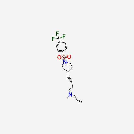 C=CCN(C)CCC#CC1CCN(S(=O)(=O)c2ccc(C(F)(F)F)cc2)CC1